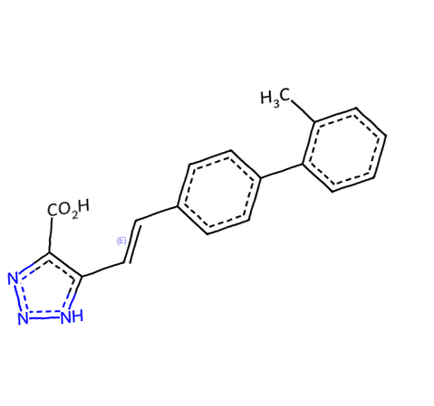 Cc1ccccc1-c1ccc(/C=C/c2[nH]nnc2C(=O)O)cc1